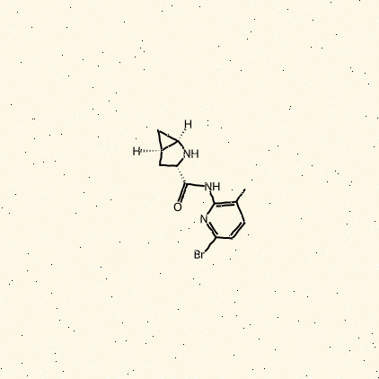 Cc1ccc(Br)nc1NC(=O)[C@@H]1C[C@H]2C[C@H]2N1